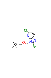 C[Si](C)(C)CCOCn1c(Br)nc2ccc(Cl)nc21